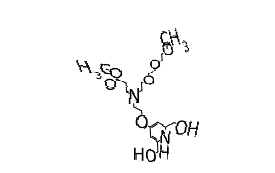 COCCOCCOCCN(CCOC1=CC(CO)NC(CO)=C1)CCC(=O)OC